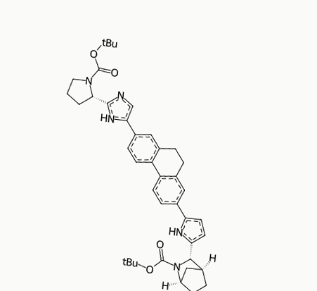 CC(C)(C)OC(=O)N1CCC[C@H]1c1ncc(-c2ccc3c(c2)CCc2cc(-c4ccc([C@@H]5[C@H]6CC[C@H](C6)N5C(=O)OC(C)(C)C)[nH]4)ccc2-3)[nH]1